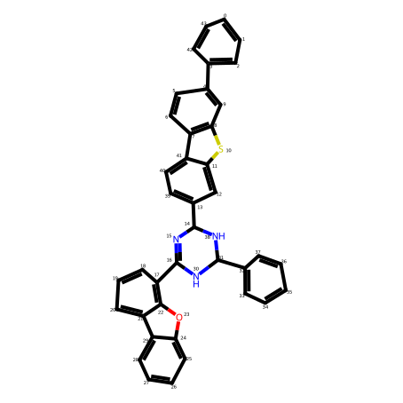 c1ccc(-c2ccc3c(c2)sc2cc(C4N=C(c5cccc6c5oc5ccccc56)NC(c5ccccc5)N4)ccc23)cc1